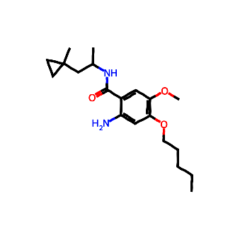 CCCCCOc1cc(N)c(C(=O)NC(C)CC2(C)CC2)cc1OC